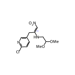 COC(CN/C(=C/[N+](=O)[O-])Cc1ccc(Cl)nc1)OC